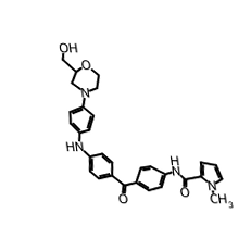 Cn1cccc1C(=O)Nc1ccc(C(=O)c2ccc(Nc3ccc(N4CCOC(CO)C4)cc3)cc2)cc1